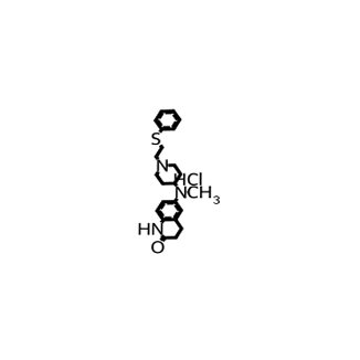 CN(c1ccc2c(c1)CCC(=O)N2)C1CCN(CCSc2ccccc2)CC1.Cl